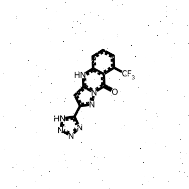 O=c1c2c(C(F)(F)F)cccc2[nH]c2cc(-c3nnn[nH]3)nn12